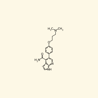 CN(C)CCCOc1ccc(-c2cnc3[nH]c[c]c3c2C(N)=O)cc1